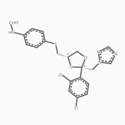 O=CNc1ccc(SC[C@@H]2CO[C@@](Cn3cncn3)(c3ccc(Cl)cc3Cl)O2)cc1